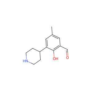 Cc1cc(C=O)c(O)c(C2CCNCC2)c1